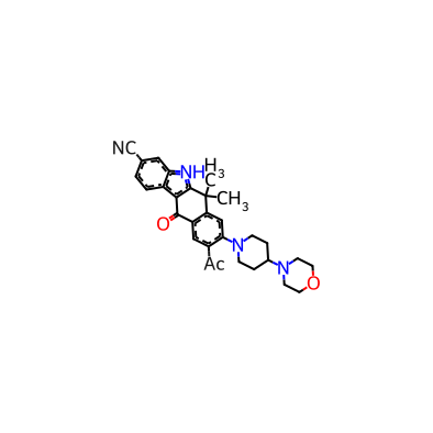 CC(=O)c1cc2c(cc1N1CCC(N3CCOCC3)CC1)C(C)(C)c1[nH]c3cc(C#N)ccc3c1C2=O